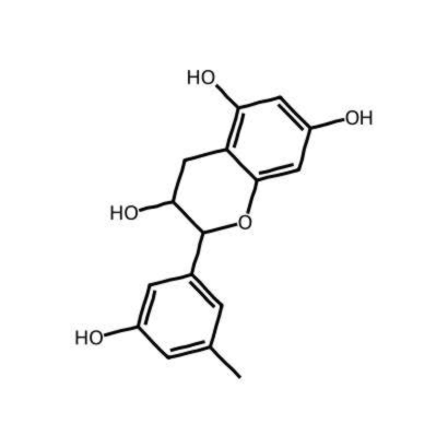 Cc1cc(O)cc(C2Oc3cc(O)cc(O)c3CC2O)c1